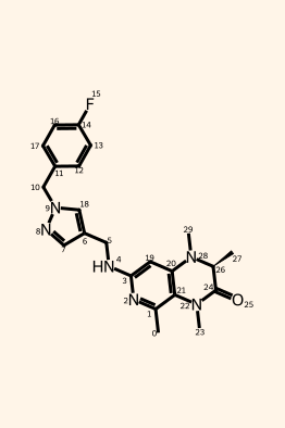 Cc1nc(NCc2cnn(Cc3ccc(F)cc3)c2)cc2c1N(C)C(=O)[C@H](C)N2C